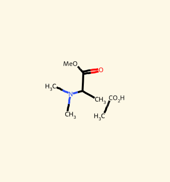 CC(=O)O.COC(=O)C(C)N(C)C